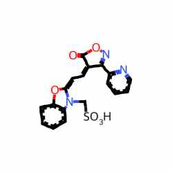 O=C1ON=C(c2ccccn2)/C1=C/C=C1Oc2ccccc2N1CS(=O)(=O)O